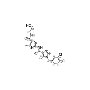 Cc1nc(NC(=O)c2nnn(Cc3ccc(Cl)c(Cl)c3)c2C)sc1C(=O)NCCO